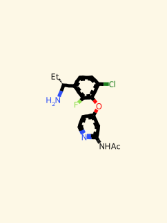 CC[C@@H](N)c1ccc(Cl)c(Oc2ccnc(NC(C)=O)c2)c1F